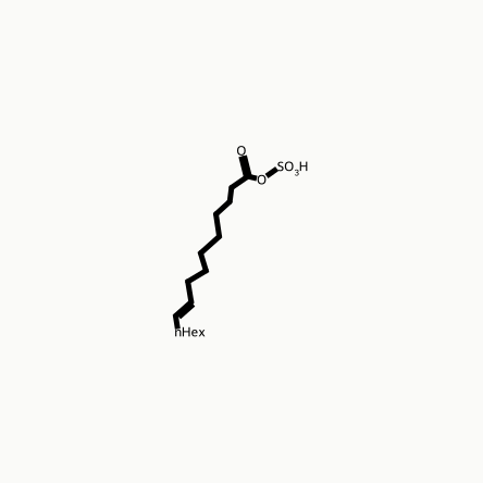 CCCCCCC=CCCCCCCCC(=O)OS(=O)(=O)O